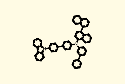 c1ccc(-c2cccc(N(c3ccc(-c4ccc(-n5c6ccccc6c6ccccc65)cc4)cc3)c3ccc(-c4cccc5ccccc45)c4ccccc34)c2)cc1